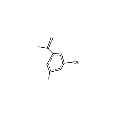 Cc1cc(C(=O)I)cc(C(C)(C)C)c1